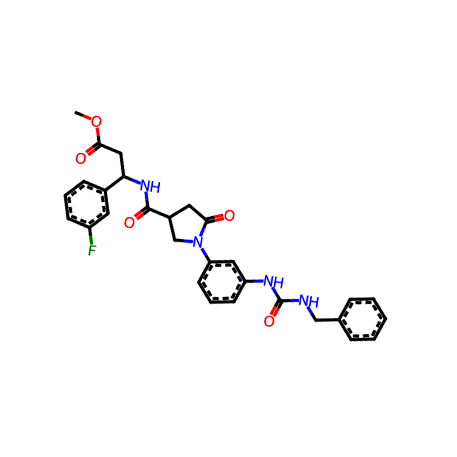 COC(=O)CC(NC(=O)C1CC(=O)N(c2cccc(NC(=O)NCc3ccccc3)c2)C1)c1cccc(F)c1